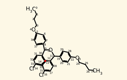 CCCCOc1ccc(C(OC(c2ccc(Cl)cc2)c2ccc(OCCCC)cc2)c2ccc(Cl)cc2)cc1